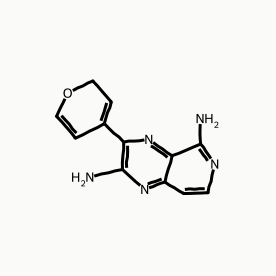 Nc1nc2ccnc(N)c2nc1C1=CCOC=C1